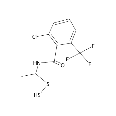 CC(NC(=O)c1c(Cl)cccc1C(F)(F)F)SS